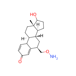 C[C@]12CC[C@@H]3C4C=CC(=O)C=C4[C@H](CON)C[C@H]3[C@@H]1CCC2O